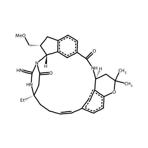 CC[C@]12CC/C=C\c3ccc4c(c3)[C@H](CC(C)(C)O4)NC(=O)c3ccc4c(c3)[C@@H]([C@H](COC)C4)N(C(=N)N1)C(=O)C2